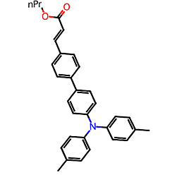 CCCOC(=O)C=Cc1ccc(-c2ccc(N(c3ccc(C)cc3)c3ccc(C)cc3)cc2)cc1